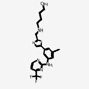 Cc1cc(Nc2nccc(C(F)(F)F)n2)cc(-c2cnc(CNCCCCO)s2)c1